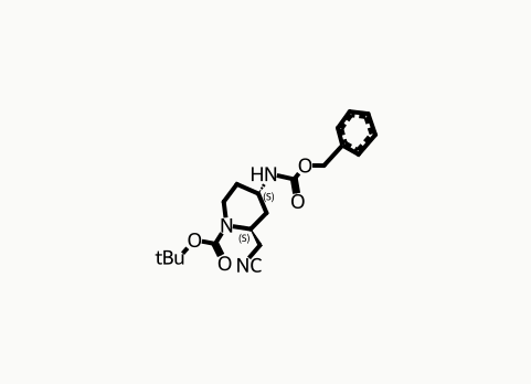 CC(C)(C)OC(=O)N1CC[C@H](NC(=O)OCc2ccccc2)C[C@H]1CC#N